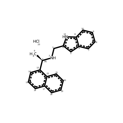 C[C@@H](NCc1cc2ccccc2[nH]1)c1cccc2ccccc12.Cl